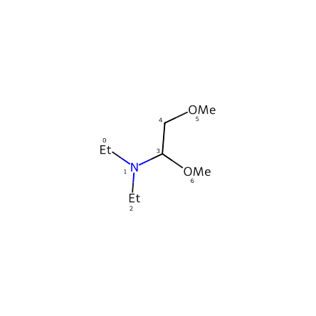 CCN(CC)C(COC)OC